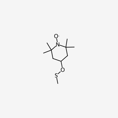 CSOC1CC(C)(C)N([O])C(C)(C)C1